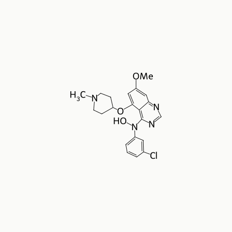 COc1cc(OC2CCN(C)CC2)c2c(N(O)c3cccc(Cl)c3)ncnc2c1